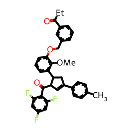 CCC(=O)c1cccc(COc2cccc(C3CC(c4ccc(C)cc4)=CC3C(=O)c3c(F)cc(F)cc3F)c2OC)c1